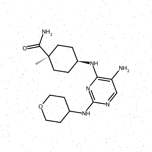 C[C@]1(C(N)=O)CC[C@@H](Nc2nc(NC3CCOCC3)ncc2N)CC1